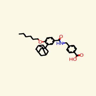 CCCCCCOc1ccc(C(=O)NCc2ccc(C(=O)O)cc2)cc1C12CC3CC(CC(C3)C1)C2